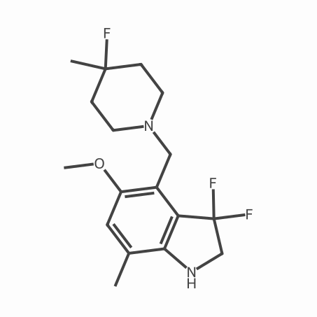 COc1cc(C)c2c(c1CN1CCC(C)(F)CC1)C(F)(F)CN2